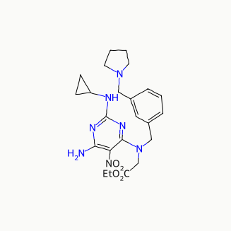 CCOC(=O)CN(Cc1cccc(CN2CCCC2)c1)c1nc(NC2CC2)nc(N)c1[N+](=O)[O-]